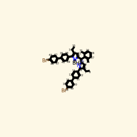 Bn1c(/C(=C2/C=C(CC)C(c3ccc(-c4ccc(Br)cc4)cc3)=N2)c2c(C)cccc2C)cc(CC)c1-c1ccc(-c2ccc(Br)cc2)cc1